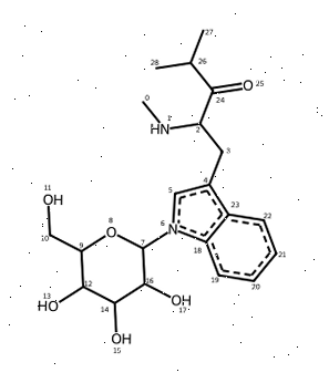 CNC(Cc1cn(C2OC(CO)C(O)C(O)C2O)c2ccccc12)C(=O)C(C)C